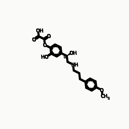 COc1ccc(CCCNC[C@@H](O)c2ccc(OC(=O)C(=O)O)c(O)c2)cc1